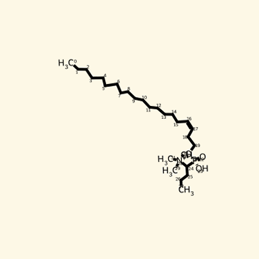 CCCCCCCCCCCCCCCC/C=C\CCOP(=O)(O)C(CCC)[N+](C)(C)C